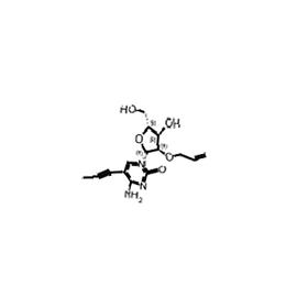 C=CCO[C@@H]1[C@H](O)[C@@H](CO)O[C@H]1n1cc(C#CC)c(N)nc1=O